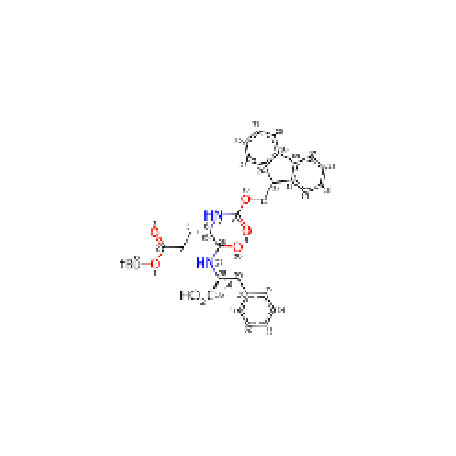 CC(C)(C)OC(=O)CC[C@H](NC(=O)OCC1c2ccccc2-c2ccccc21)C(=O)N[C@@H](Cc1ccccc1)C(=O)O